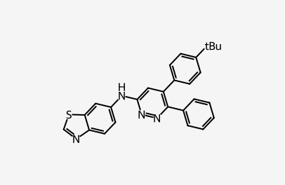 CC(C)(C)c1ccc(-c2cc(Nc3ccc4ncsc4c3)nnc2-c2ccccc2)cc1